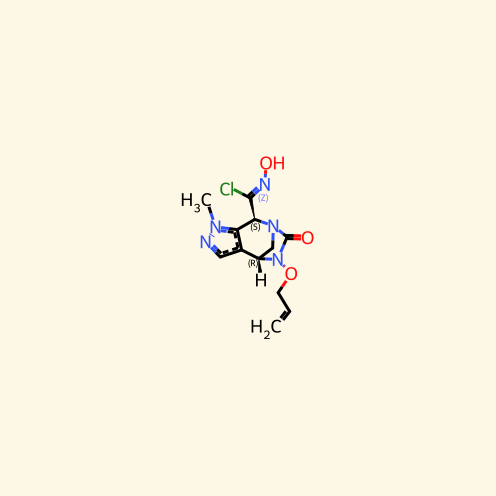 C=CCON1C(=O)N2C[C@H]1c1cnn(C)c1[C@H]2/C(Cl)=N/O